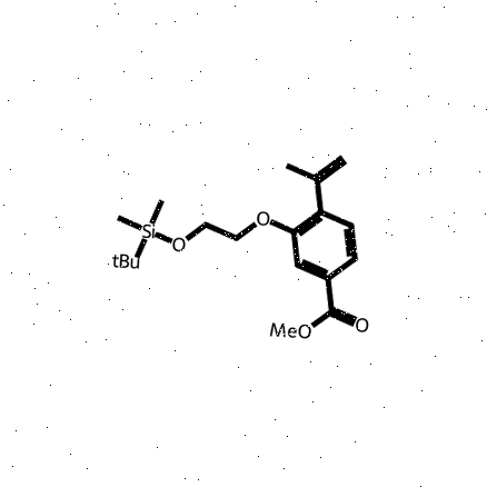 C=C(C)c1ccc(C(=O)OC)cc1OCCO[Si](C)(C)C(C)(C)C